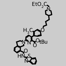 CCOC(=O)CN1CCC(CCCCOc2ccc(-c3ccc(N4CCc5cccc(C(=O)Nc6nc7ccccc7s6)c5C4)nc3C(=O)OC(C)(C)C)c(C)c2)CC1